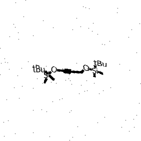 CC(C)(C)[Si](C)(C)OC#CCO[Si](C)(C)C(C)(C)C